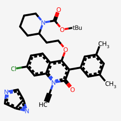 C#Cn1c(=O)c(-c2cc(C)cc(C)c2)c(OCCC2CCCCN2C(=O)OC(C)(C)C)c2ccc(Cl)cc21.c1ncc2nc1-2